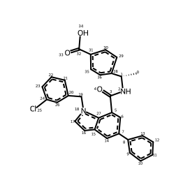 C[C@H](NC(=O)c1cc(-c2ccccc2)cc2ccn(Cc3cccc(Cl)c3)c12)c1ccc(C(=O)O)cc1